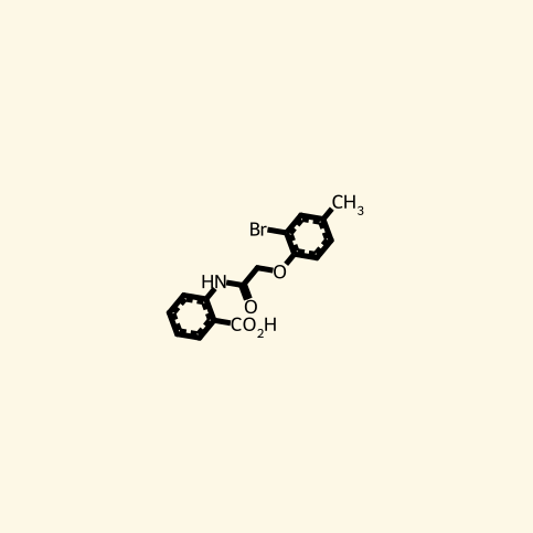 Cc1ccc(OCC(=O)Nc2ccccc2C(=O)O)c(Br)c1